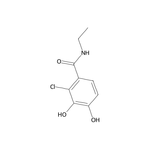 CCNC(=O)c1ccc(O)c(O)c1Cl